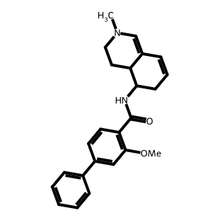 COc1cc(-c2ccccc2)ccc1C(=O)NC1CC=CC2=CN(C)CCC21